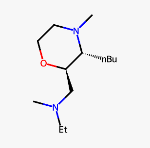 CCCC[C@@H]1[C@@H](CN(C)CC)OCCN1C